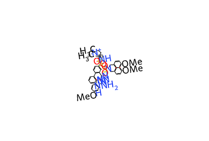 COc1ccc(CN(Cc2ccc(OC)cc2)S(=O)(=O)c2c(S(=O)(=O)N[C@@H]3CC[N+](C)(C)C3)ccc(-c3cccc4[nH]c(N)nc34)c2-c2nnnn2Cc2ccc(OC)cc2)cc1